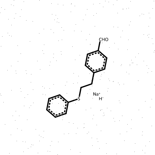 O=Cc1ccc(CCSc2ccccc2)cc1.[H-].[Na+]